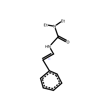 CCN(CC)C(=O)N/C=C/c1ccccc1